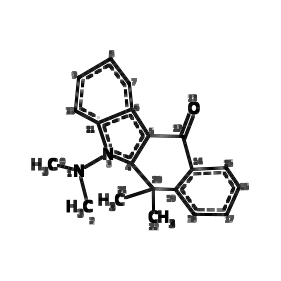 CN(C)n1c2c(c3ccccc31)C(=O)c1ccccc1C2(C)C